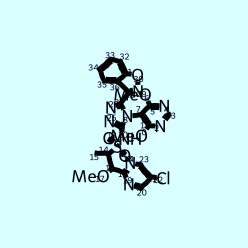 COc1ncnc(OC)c1-n1c(NS(=O)(=O)C(C)C(OC)c2ncc(Cl)cn2)nnc1-c1noc2ccccc12